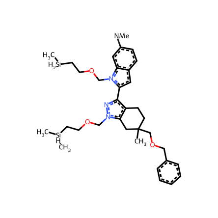 CNc1ccc2cc(-c3nn(COCC[SiH](C)C)c4c3CCC(C)(COCc3ccccc3)C4)n(COCC[SiH2]C)c2c1